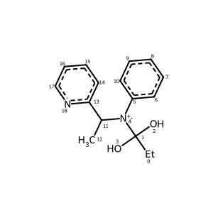 CCC(O)(O)[N+](c1ccccc1)C(C)c1ccccn1